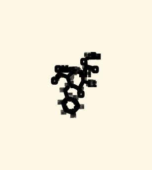 CC[C@H](NC(=O)OC(C)(C)C)C(=O)N(Cc1ccccc1)[C@H](CC)C(=O)OC